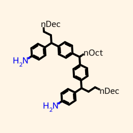 CCCCCCCCCCCCC(c1ccc(N)cc1)c1ccc(C(CCCCCCCC)c2ccc(C(CCCCCCCCCCCC)c3ccc(N)cc3)cc2)cc1